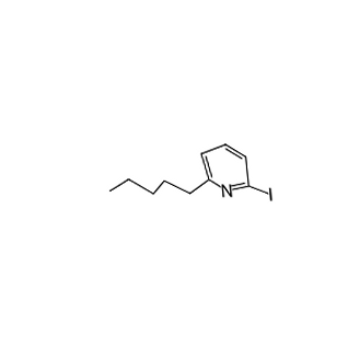 CCCCCc1cccc(I)n1